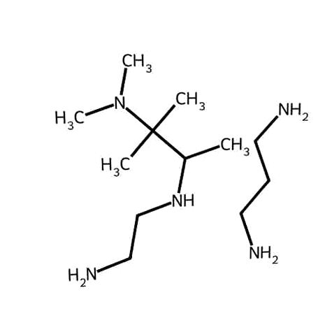 CC(NCCN)C(C)(C)N(C)C.NCCCN